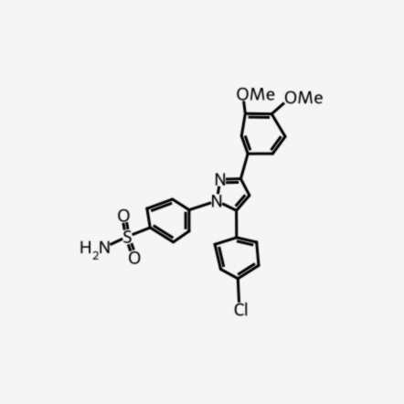 COc1ccc(-c2cc(-c3ccc(Cl)cc3)n(-c3ccc(S(N)(=O)=O)cc3)n2)cc1OC